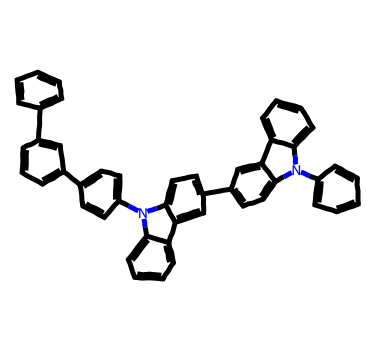 c1ccc(-c2cccc(-c3ccc(-n4c5ccccc5c5cc(-c6ccc7c(c6)c6ccccc6n7-c6ccccc6)ccc54)cc3)c2)cc1